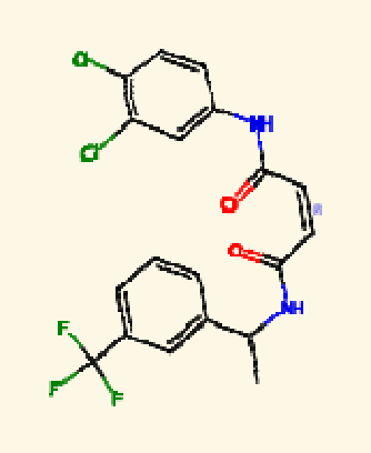 CC(NC(=O)/C=C\C(=O)Nc1ccc(Cl)c(Cl)c1)c1cccc(C(F)(F)F)c1